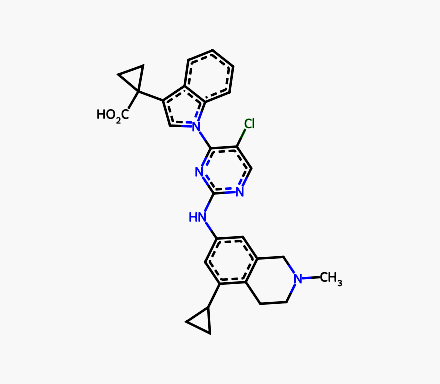 CN1CCc2c(cc(Nc3ncc(Cl)c(-n4cc(C5(C(=O)O)CC5)c5ccccc54)n3)cc2C2CC2)C1